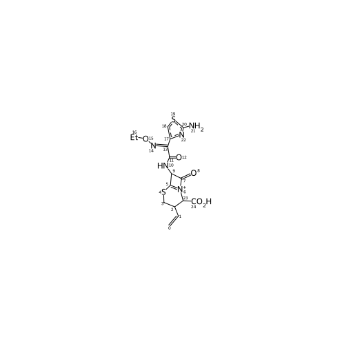 C=CC1CSC2=[N+](C(=O)C2NC(=O)C(=NOCC)c2csc(N)n2)C1C(=O)O